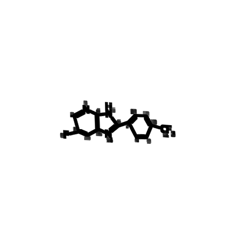 Fc1cnc2[nH]c(-c3ccc(C(F)(F)F)cc3)nc2c1